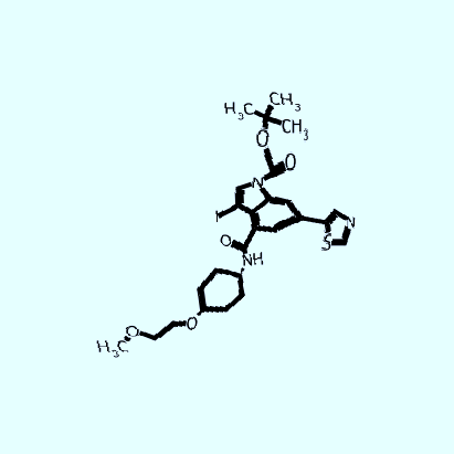 COCCO[C@H]1CC[C@H](NC(=O)c2cc(-c3cncs3)cc3c2c(I)cn3C(=O)OC(C)(C)C)CC1